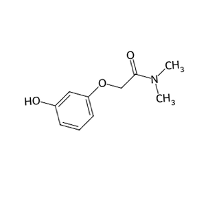 CN(C)C(=O)COc1cccc(O)c1